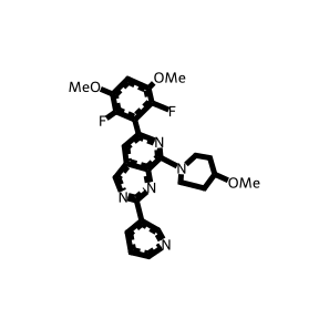 COc1cc(OC)c(F)c(-c2cc3cnc(-c4cccnc4)nc3c(N3CCC(OC)CC3)n2)c1F